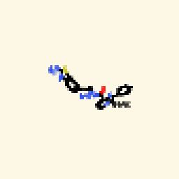 CC(=O)Nc1c(-c2ccccc2)nc2c(C(=O)NCc3ccc4nc(N)sc4c3)cccn12